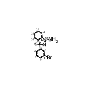 CC1(c2cccc(Br)c2)N=C(N)c2ccccc21